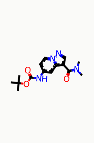 CN(C)C(=O)c1cnn2ccc(NC(=O)OC(C)(C)C)cc12